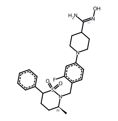 C[C@H]1CCC(c2ccccc2)S(=O)(=O)N1Cc1ccc(N2CCC(/C(N)=N/O)CC2)cc1F